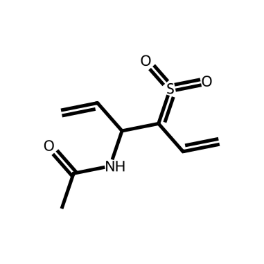 C=CC(C(C=C)NC(C)=O)=S(=O)=O